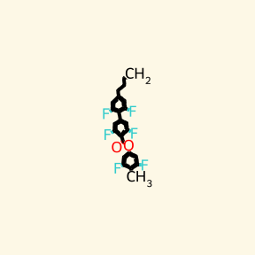 C=CCCc1cc(F)c(-c2cc(F)c(C(=O)Oc3cc(F)c(C)c(F)c3)c(F)c2)c(F)c1